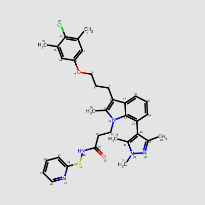 Cc1cc(OCCCc2c(C)n(CCC(=O)NSc3ccccn3)c3c(-c4c(C)nn(C)c4C)cccc23)cc(C)c1Cl